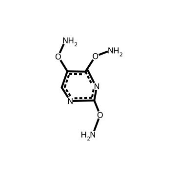 NOc1ncc(ON)c(ON)n1